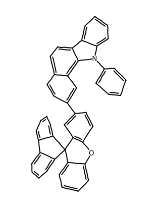 c1ccc(-n2c3ccccc3c3ccc4ccc(-c5ccc6c(c5)C5(c7ccccc7O6)c6ccccc6-c6ccccc65)cc4c32)cc1